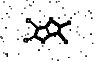 O=c1nc2c(Cl)c(Cl)nc-2c1=O